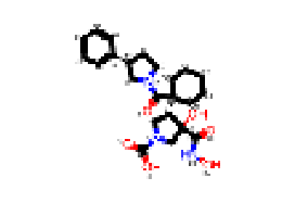 O=C(O)N1C[C@H](C2(C(=O)N3CC[C@H](c4ccccc4)C3)CCCCC2)[C@](O)(C(=O)NO)C1